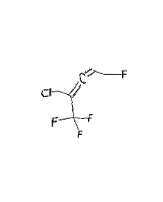 FC=C=C(Cl)C(F)(F)F